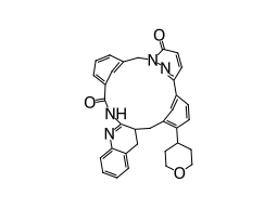 O=C1NC2=Nc3ccccc3CC2Cc2cc(ccc2C2CCOCC2)-c2ccc(=O)n(n2)Cc2cccc1c2